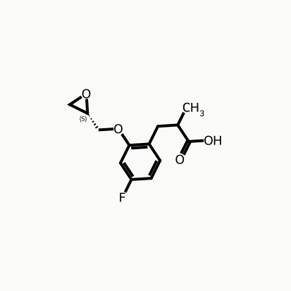 CC(Cc1ccc(F)cc1OC[C@@H]1CO1)C(=O)O